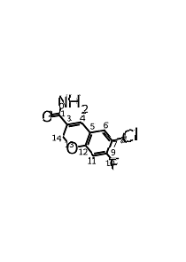 NC(=O)C1=Cc2cc(Cl)c(F)cc2OC1